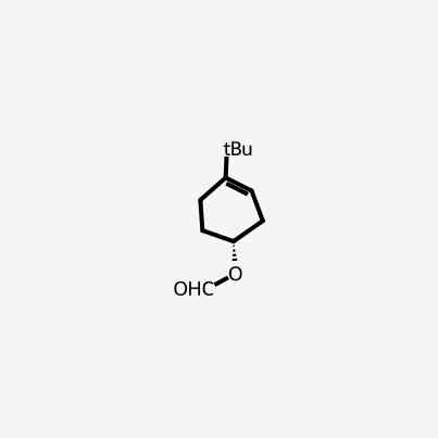 CC(C)(C)C1=CC[C@H](OC=O)CC1